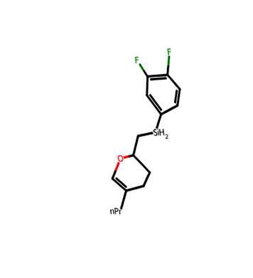 CCCC1=COC(C[SiH2]c2ccc(F)c(F)c2)CC1